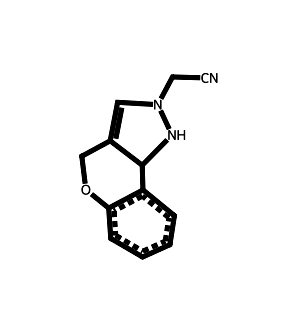 N#CCN1C=C2COc3ccccc3C2N1